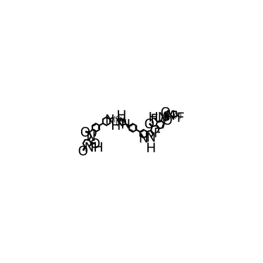 O=C1CCC(N2Cc3cc(C4CCN(C[C@@H]5[C@H]6CN(c7ccc(-c8cnc9[nH]cc(C(=O)c%10c(F)ccc(NS(=O)(=O)N%11CC[C@@H](F)C%11)c%10F)c9c8)cc7)C[C@@H]56)CC4)ccc3C2=O)C(=O)N1